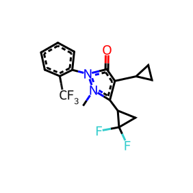 Cn1c(C2CC2(F)F)c(C2CC2)c(=O)n1-c1ccccc1C(F)(F)F